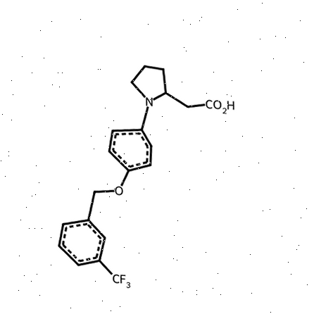 O=C(O)CC1CCCN1c1ccc(OCc2cccc(C(F)(F)F)c2)cc1